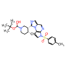 Cc1ccc(S(=O)(=O)n2ccc3c2ncc2cnc([C@H]4CN(C(O)OC(C)(C)C)CC[C@H]4C)n23)cc1